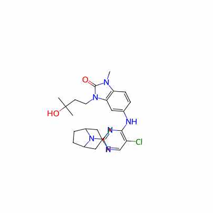 Cn1c(=O)n(CCC(C)(C)O)c2cc(Nc3nc(N4C5CCC4CC(F)(F)C5)ncc3Cl)ccc21